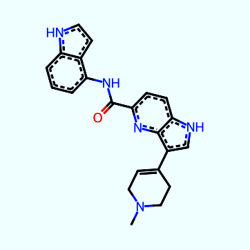 CN1CC=C(c2c[nH]c3ccc(C(=O)Nc4cccc5[nH]ccc45)nc23)CC1